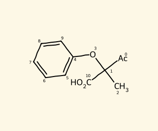 CC(=O)C(C)(Oc1ccccc1)C(=O)O